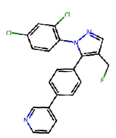 FCc1cnn(-c2ccc(Cl)cc2Cl)c1-c1ccc(-c2cccnc2)cc1